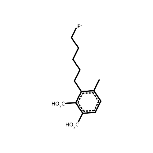 Cc1ccc(C(=O)O)c(C(=O)O)c1CCCCCC(C)C